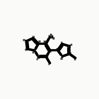 Cc1ncc(-c2c(C)nn3cncc3c2N)s1